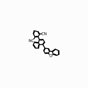 N#Cc1cccc(C#N)c1-c1ccc(-c2ccc3oc4ccccc4c3c2)c2ccccc12